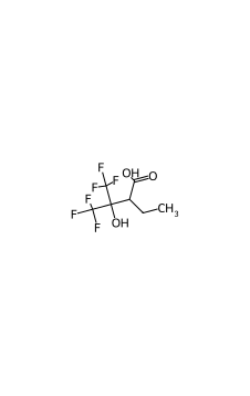 CCC(C(=O)O)C(O)(C(F)(F)F)C(F)(F)F